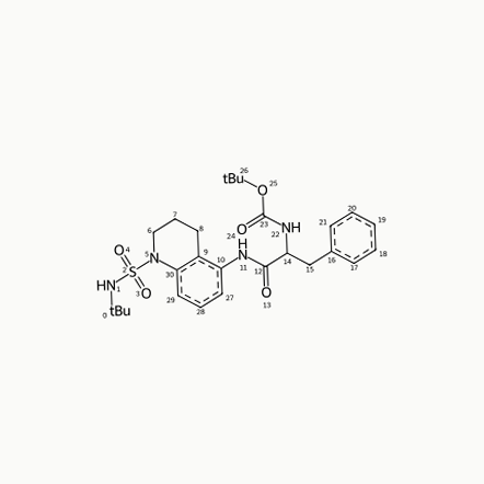 CC(C)(C)NS(=O)(=O)N1CCCc2c(NC(=O)C(Cc3ccccc3)NC(=O)OC(C)(C)C)cccc21